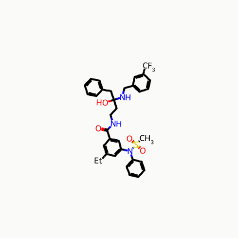 CCc1cc(C(=O)NCCC(O)(Cc2ccccc2)NCc2cccc(C(F)(F)F)c2)cc(N(c2ccccc2)S(C)(=O)=O)c1